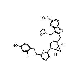 N#Cc1ccc(COc2cccc(N3CCN(Cc4nc5ccc(C(=O)O)cc5n4C[C@@H]4CCO4)[C@H]4C[C@H]43)n2)c(F)c1